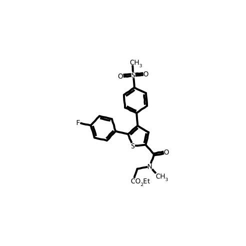 CCOC(=O)CN(C)C(=O)c1cc(-c2ccc(S(C)(=O)=O)cc2)c(-c2ccc(F)cc2)s1